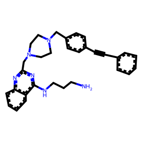 NCCCNc1nc(CN2CCN(Cc3ccc(C#Cc4ccccc4)cc3)CC2)nc2ccccc12